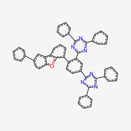 c1ccc(-c2ccc3oc4c(-c5ccc(-c6nc(-c7ccccc7)nc(-c7ccccc7)n6)cc5-c5nc(-c6ccccc6)nc(-c6ccccc6)n5)cccc4c3c2)cc1